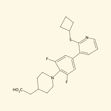 O=C(O)CC1CCN(c2c(F)cc(-c3cccnc3SC3CCC3)cc2F)CC1